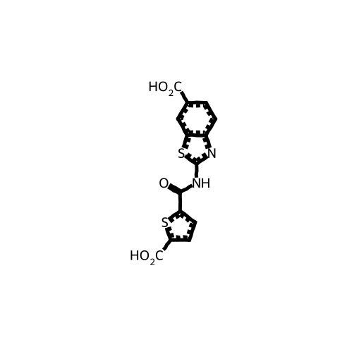 O=C(O)c1ccc2nc(NC(=O)c3ccc(C(=O)O)s3)sc2c1